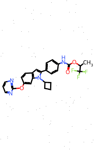 CC(OC(=O)Nc1ccc(-c2cc3ccc(Oc4ncccn4)cc3n2C2CCC2)cc1)C(F)(F)F